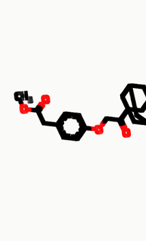 COC(=O)Cc1ccc(OCC(=O)C23CC4CC(CC(C4)C2)C3)cc1